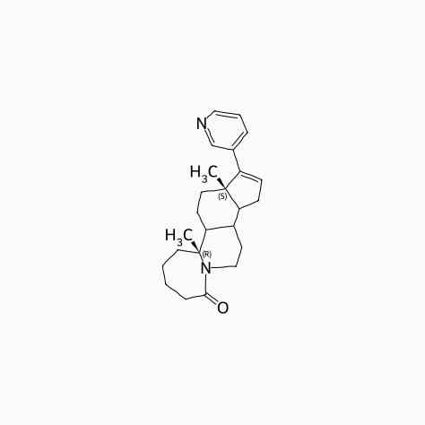 C[C@]12CCC3C(CCN4C(=O)CCCC[C@]34C)C1CC=C2c1cccnc1